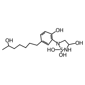 CC(O)CCCCCc1ccc(O)c(N2CC(O)NS2(O)O)c1